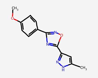 COc1ccc(-c2noc(-c3cc(C)[nH]n3)n2)cc1